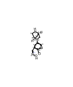 O/N=C\c1cc(N2C[C@H]3C[C@@H]2CN3)cnc1Cl